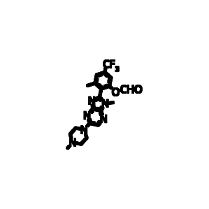 Cc1cc(C(F)(F)F)cc(OC=O)c1-c1nc2nc(N3CCN(C)CC3)cnc2n1C